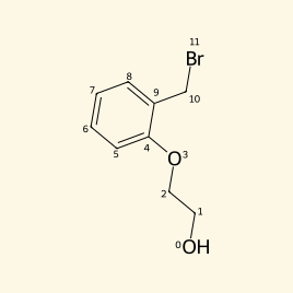 OCCOc1ccccc1CBr